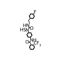 O=C(Nc1ccc(N(S)C(=O)NCCc2ccc(F)cc2)cc1)c1ccccc1C(F)(F)F